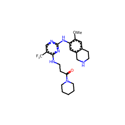 COc1cc2c(cc1Nc1ncc(C(F)(F)F)c(NCCC(=O)N3CCCCC3)n1)CNCC2